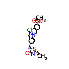 CSC1=NC(=O)/C(=C/c2ccc3c(cnn3Cc3ccc(S(C)(=O)=O)cc3Cl)c2)S1